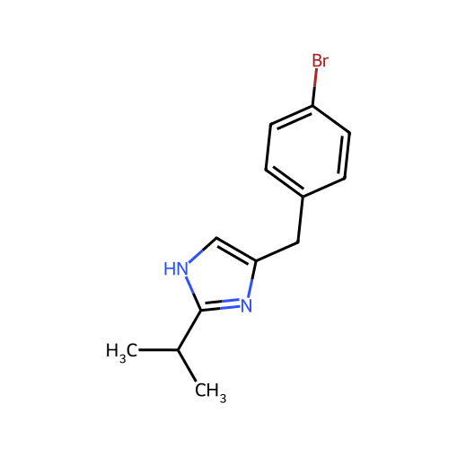 CC(C)c1nc(Cc2ccc(Br)cc2)c[nH]1